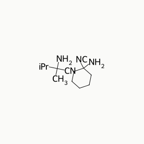 CC(C)C(C)(N)C#N.N#CC1(N)CCCCC1